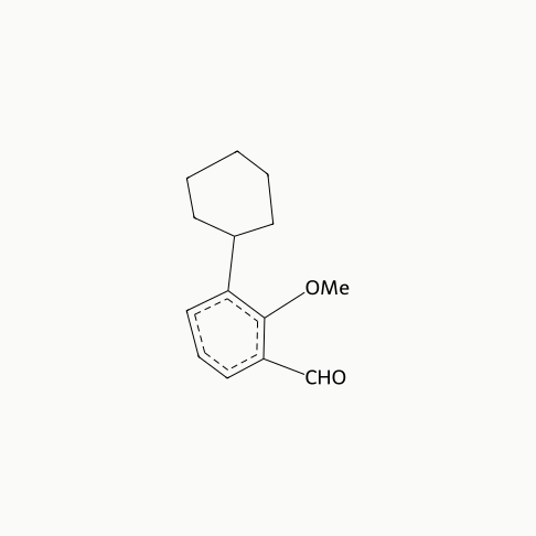 COc1c(C=O)cccc1C1CCCCC1